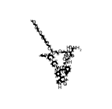 C#CCNC1(C)CCN(C2CCN(c3nc([C@@](COCNC(=O)CNC(=O)[C@H](CC(N)=O)NC(=O)CCOCCOCCOCCOCCOCCOCCOCCOC)(OC4CC4)c4ccccc4)c4cc(-c5cn(C)c(=O)c6[nH]ccc56)ccc4n3)CC2)CC1